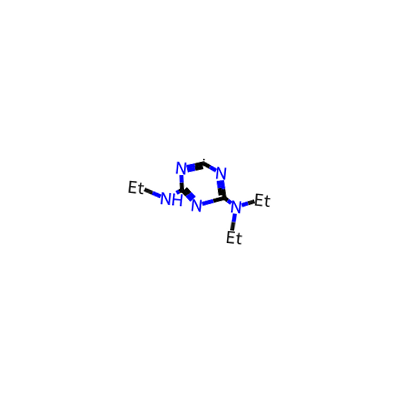 CCNc1n[c]nc(N(CC)CC)n1